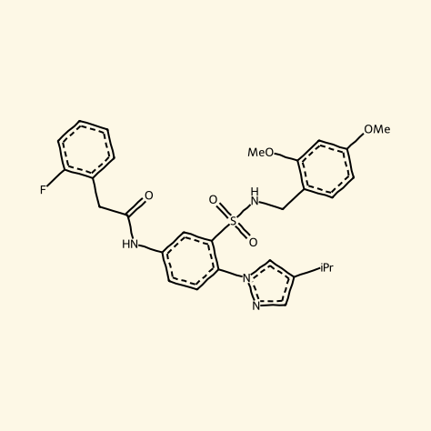 COc1ccc(CNS(=O)(=O)c2cc(NC(=O)Cc3ccccc3F)ccc2-n2cc(C(C)C)cn2)c(OC)c1